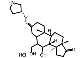 C[C@]12CCC(=NO[C@@H]3CCNC3)CC1C(CO)C(O)[C@@H]1[C@H]2CC[C@]2(C)C(=O)CC[C@@H]12.Cl